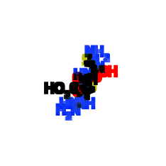 N=C(N)NN=CC1=C(OC(=O)O)N2C(=O)C(NC(=O)/C(=N\O)c3csc(N)n3)[C@@H]2SC1